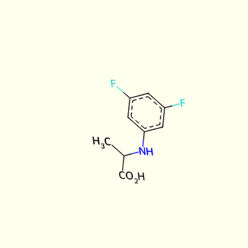 CC(Nc1cc(F)cc(F)c1)C(=O)O